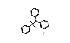 CC(C)(c1ccccc1)N(c1ccccc1)c1ccccc1.[B]